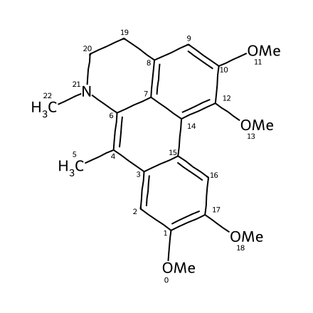 COc1cc2c(C)c3c4c(cc(OC)c(OC)c4c2cc1OC)CCN3C